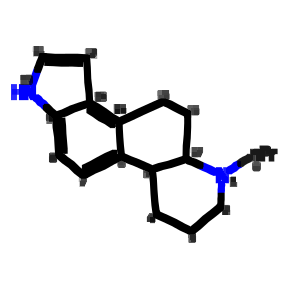 CCCN1CCCC2c3ccc4[nH]ccc4c3CCC21